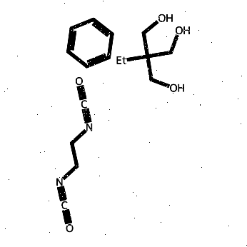 CCC(CO)(CO)CO.O=C=NCCN=C=O.c1ccccc1